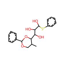 CC1COC(c2ccccc2)OC1C(O)C(O)C(O)Sc1ccccc1